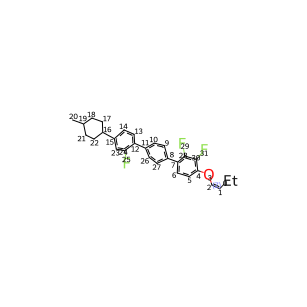 CC/C=C\Oc1ccc(-c2ccc(-c3ccc(C4CCC(C)CC4)cc3F)cc2)c(F)c1F